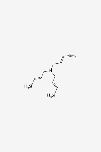 [SiH3]C=CCN(CC=C[SiH3])CC=C[SiH3]